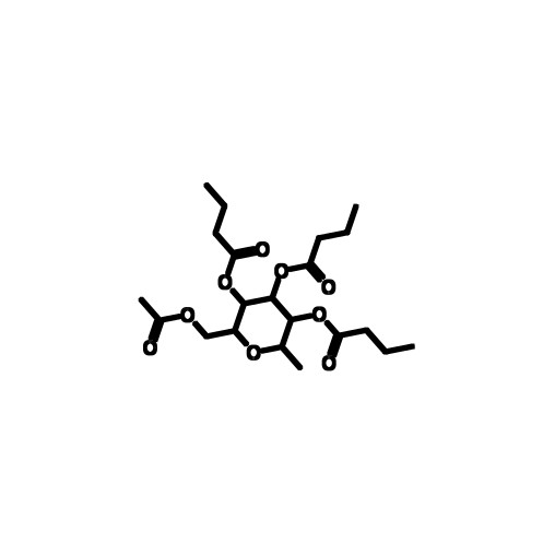 CCCC(=O)OC1C(C)OC(COC(C)=O)C(OC(=O)CCC)C1OC(=O)CCC